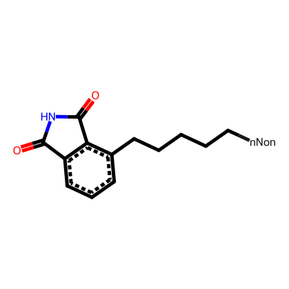 CCCCCCCCCCCCCCc1cccc2c1C(=O)NC2=O